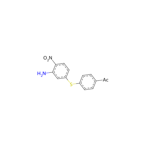 CC(=O)c1ccc(Sc2ccc([N+](=O)[O-])c(N)c2)cc1